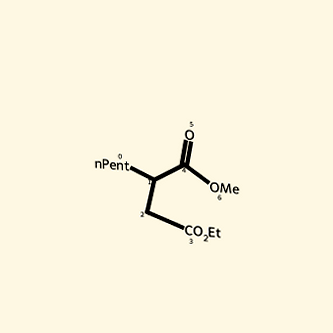 CCCCCC(CC(=O)OCC)C(=O)OC